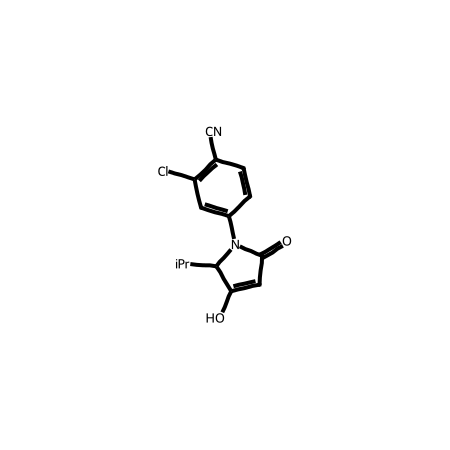 CC(C)C1C(O)=CC(=O)N1c1ccc(C#N)c(Cl)c1